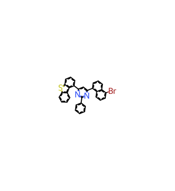 Brc1cccc2c(-c3cc(-c4cccc5sc6ccccc6c45)nc(-c4ccccc4)n3)cccc12